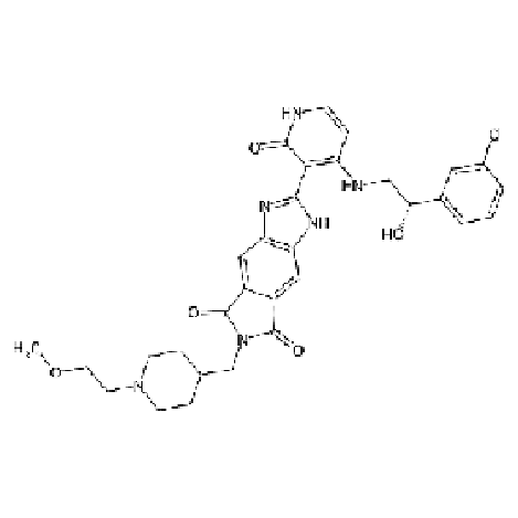 COCCN1CCC(CN2C(=O)c3cc4nc(-c5c(NC[C@@H](O)c6cccc(Cl)c6)cc[nH]c5=O)[nH]c4cc3C2=O)CC1